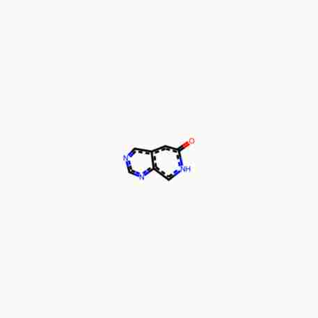 O=c1cc2cncnc2c[nH]1